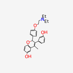 CCN(CC)CCOc1ccc(C2Oc3ccc(O)cc3C(C)=C2c2cccc(O)c2)cc1